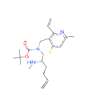 C=CCCC(CN(Cc1c(F)cc(C)nc1C=C)C(=O)OC(C)(C)C)NC